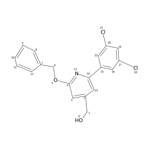 OCc1cc(OCc2ccccc2)nc(-c2cc(Cl)cc(Cl)c2)c1